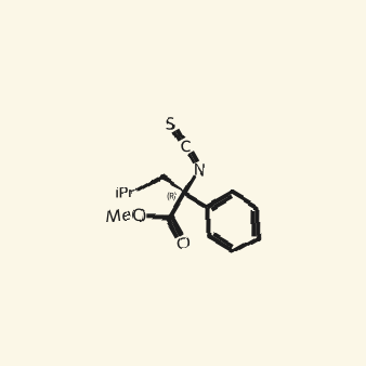 COC(=O)[C@](CC(C)C)(N=C=S)c1ccccc1